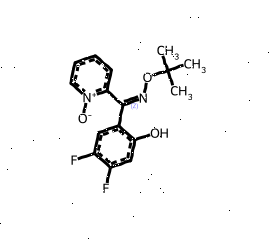 CC(C)(C)O/N=C(/c1cc(F)c(F)cc1O)c1cccc[n+]1[O-]